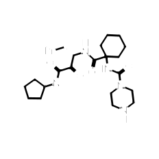 CC(C)C[C@H](NC(=O)C1(NC(=O)N2CCNCC2)CCCCC1)C(=O)C(=O)NC1CCCC1